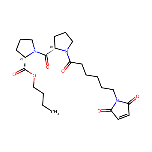 CCCCOC(=O)[C@@H]1CCCN1C(=O)[C@@H]1CCCN1C(=O)CCCCCN1C(=O)C=CC1=O